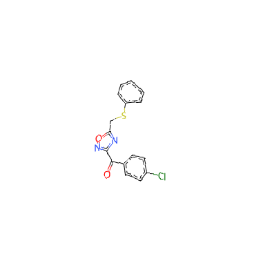 O=C(c1ccc(Cl)cc1)c1noc(CSc2ccccc2)n1